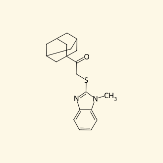 Cn1c(SCC(=O)C23CC4CC(CC(C4)C2)C3)nc2ccccc21